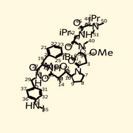 CC[C@H](C)[C@@H]([C@@H](CC(=O)N1CCC[C@H]1[C@H](OC)[C@@H](C)C(=O)NC(Cc1ccccc1)C(=O)NCc1ccc(NI)cc1)OC)N(C)C(=O)[C@@H](NC(=O)[C@H](C(C)C)N(C)C)C(C)C